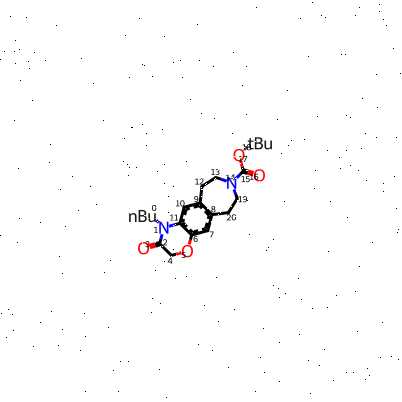 CCCCN1C(=O)COc2cc3c(cc21)CCN(C(=O)OC(C)(C)C)CC3